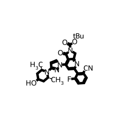 C[C@@H]1CC(O)C[C@H](C)N1c1ccn(-c2cc(-c3c(F)cccc3C#N)nc3c2C(=O)N(C(=O)OC(C)(C)C)C3)n1